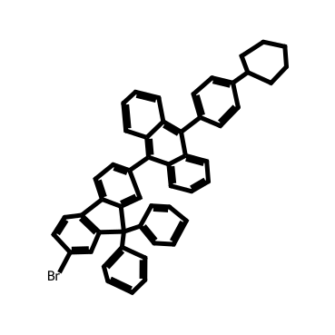 Brc1ccc2c(c1)C(c1ccccc1)(c1ccccc1)c1cc(-c3c4ccccc4c(-c4ccc(C5CCCCC5)cc4)c4ccccc34)ccc1-2